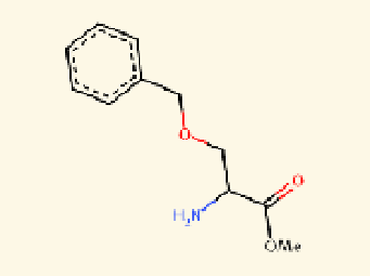 COC(=O)C(N)COCc1ccccc1